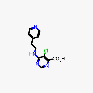 O=C(O)c1ncnc(NCCc2ccncc2)c1Cl